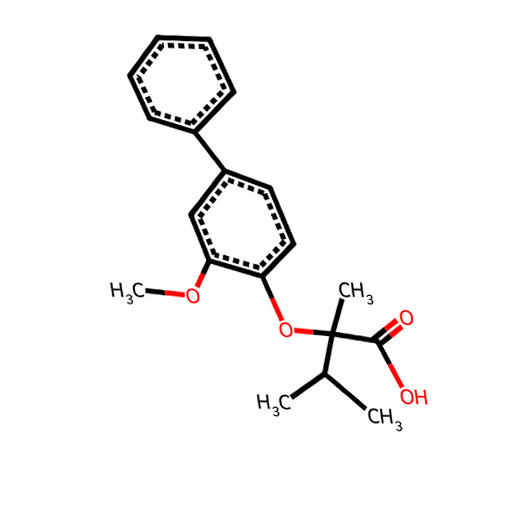 COc1cc(-c2ccccc2)ccc1OC(C)(C(=O)O)C(C)C